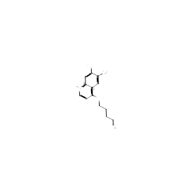 Cc1cc2nccc(OCCCCBr)c2cc1[N+](=O)[O-]